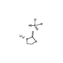 O=C1OCCO1.O=P([O-])([O-])O.[Li+].[Li+]